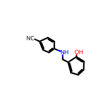 N#Cc1ccc(NCc2ccccc2O)cc1